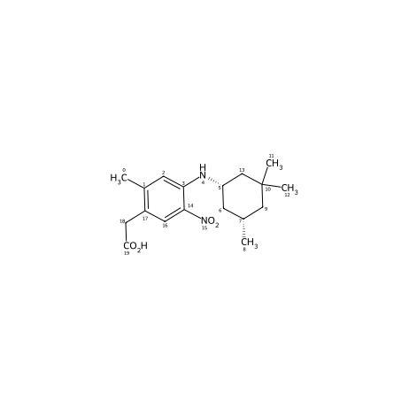 Cc1cc(N[C@H]2C[C@@H](C)CC(C)(C)C2)c([N+](=O)[O-])cc1CC(=O)O